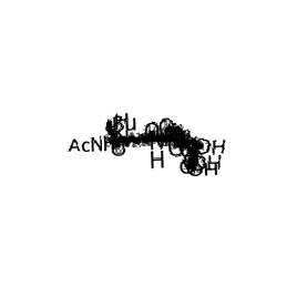 CC(=O)NC(SSC(C)(C)C)C(=O)NCCCCCC(=O)NCCn1c(=O)ccn(C2CC(O)C(COP(=O)(O)O)O2)c1=O